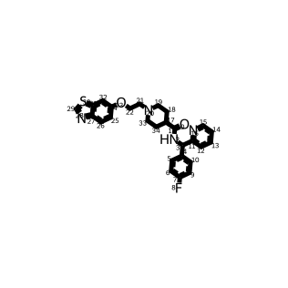 O=C(NC(c1ccc(F)cc1)c1ccccn1)C1CCN(CCOc2ccc3ncsc3c2)CC1